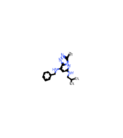 CCC(CC)CNc1cc(NCc2ccccc2)c2nnc(C(C)C)n2n1